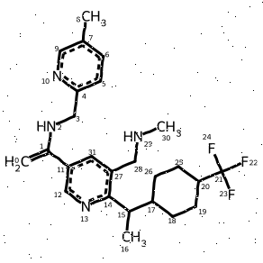 C=C(NCc1ccc(C)cn1)c1cnc(C(C)C2CCC(C(F)(F)F)CC2)c(CNC)c1